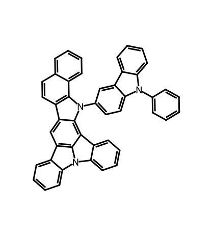 c1ccc(-n2c3ccccc3c3cc(-n4c5c6ccccc6ccc5c5cc6c7ccccc7n7c8ccccc8c(c54)c67)ccc32)cc1